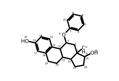 CC12CC(Oc3ccccc3)C3c4ccc(O)cc4CCC3C1CCC2O